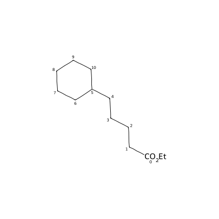 CCOC(=O)CCCCC1CCCCC1